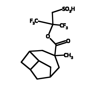 CC1(C(=O)OC(CS(=O)(=O)O)(C(F)(F)F)C(F)(F)F)CC2CC3CC(C1)C3C2